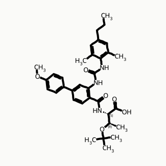 CCCc1cc(C)c(NC(=O)Nc2cc(-c3ccc(OC)cc3)ccc2C(=O)N[C@H](C(=O)O)[C@@H](C)OC(C)(C)C)c(C)c1